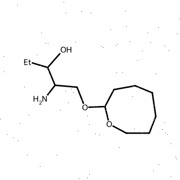 CCC(O)C(N)COC1CCCCCCO1